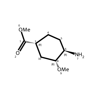 COC(=O)[C@@H]1CC[C@@H](N)[C@H](OC)C1